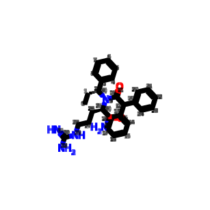 CC[C@H](c1ccccc1)N(C(=O)C(c1ccccc1)c1ccccc1)[C@H](CCCNC(=N)N)C(N)=O